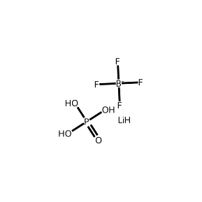 F[B-](F)(F)F.O=P(O)(O)O.[LiH]